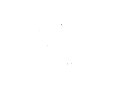 CCCCCC(O)c1c(O)nc(OC)c(OC)c1O